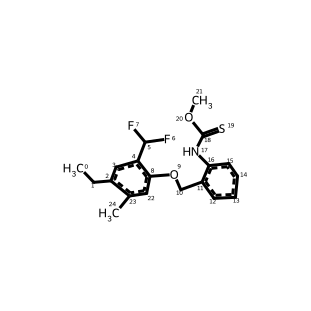 CCc1cc(C(F)F)c(OCc2ccccc2NC(=S)OC)cc1C